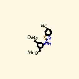 COCc1cc(COC)cc(Nc2nc3ccc(C#N)cc3s2)c1